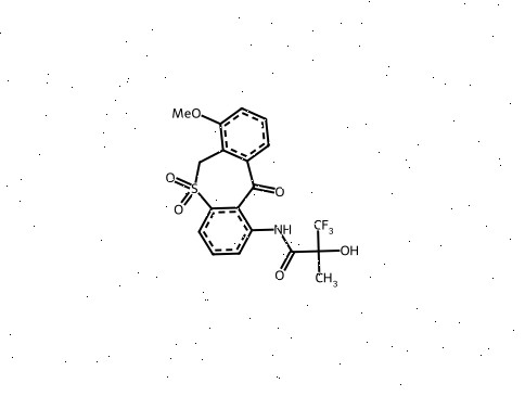 COc1cccc2c1CS(=O)(=O)c1cccc(NC(=O)C(C)(O)C(F)(F)F)c1C2=O